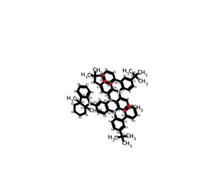 Cc1cc2c3c(c1)N(c1ccc(C(C)(C)C)cc1-c1ccccc1)c1cc4c(cc1B3c1cc(N3c5ccccc5C5(C)CCCCC35C)ccc1N2c1ccc(C(C)(C)C)cc1-c1ccccc1)CC(C)(C)C4